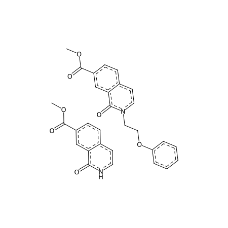 COC(=O)c1ccc2cc[nH]c(=O)c2c1.COC(=O)c1ccc2ccn(CCOc3ccccc3)c(=O)c2c1